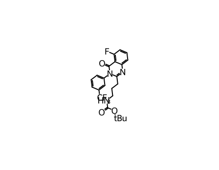 CC(C)(C)OC(=O)NCCCc1nc2cccc(F)c2c(=O)n1-c1cccc(C(F)(F)F)c1